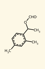 Cc1ccc(C(C)O[C]=O)c(C)c1